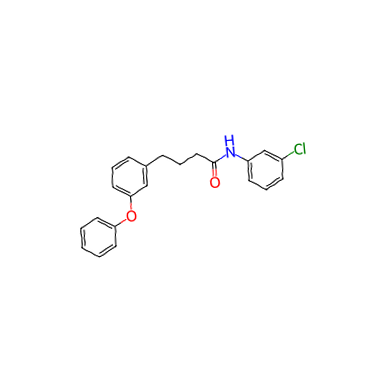 O=C(CCCc1cccc(Oc2ccccc2)c1)Nc1cccc(Cl)c1